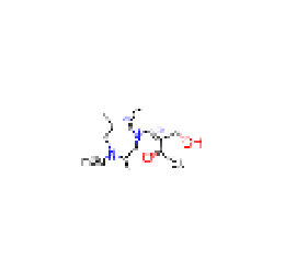 C/C=C1/C(C)CN(CCCC)C(C)CN1/C=C(/CO)C(=O)CC